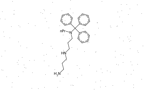 CCCN(CCCNCCCN)C(c1ccccc1)(c1ccccc1)c1ccccc1